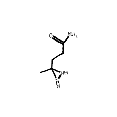 CC1(CCC(N)=O)NN1